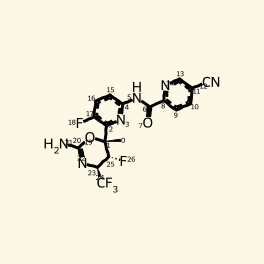 C[C@]1(c2nc(NC(=O)c3ccc(C#N)cn3)ccc2F)OC(N)=N[C@H](C(F)(F)F)[C@H]1F